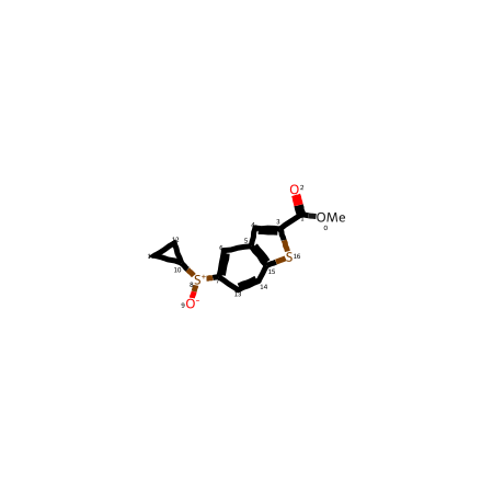 COC(=O)c1cc2cc([S+]([O-])C3CC3)ccc2s1